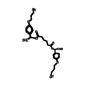 O=CC(OC(=O)CCCCC(=O)OC(C=O)c1ccc(OCCCO)cc1)c1ccc(OCCCO)cc1